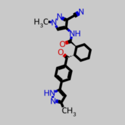 Cc1cc(-c2ccc(C(=O)[C@H]3CCCC[C@@H]3C(=O)Nc3cn(C)nc3C#N)cc2)[nH]n1